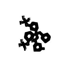 Cc1cccc(NCC(Cc2ccccc2)(c2cccc(OC(F)(F)F)c2)c2cccc(OC(F)(F)F)c2)c1